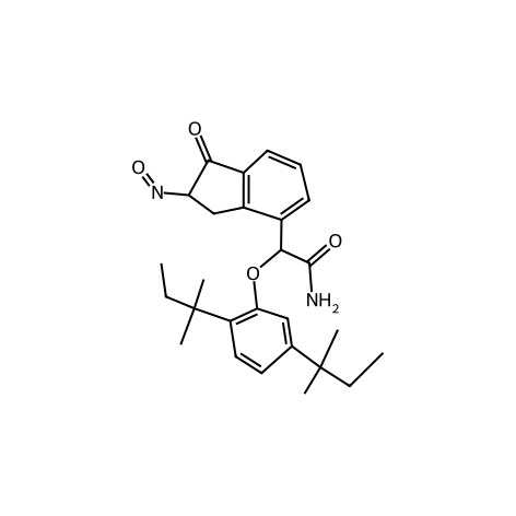 CCC(C)(C)c1ccc(C(C)(C)CC)c(OC(C(N)=O)c2cccc3c2CC(N=O)C3=O)c1